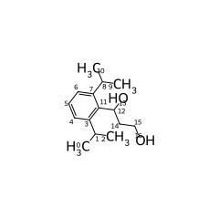 CC(C)c1cccc(C(C)C)c1C(O)CCO